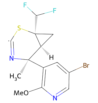 COc1ncc(Br)cc1[C@@]1(C)N=[C]S[C@@]2(C(F)F)C[C@@H]12